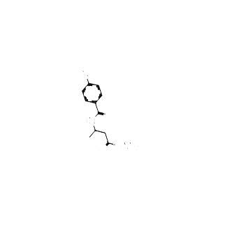 COC(=O)CC(C)NC(=O)c1ccc([N+](=O)[O-])cc1